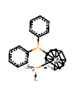 CC[P@@](C(C)(C)C)[C@@]12[CH]3[CH]4[CH]5[C]1(P(c1ccccc1)c1ccccc1)[Fe]45321678[CH]2[CH]1[CH]6[CH]7[CH]28